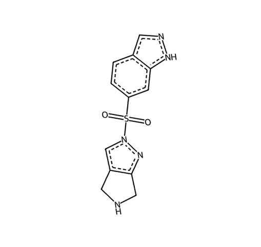 O=S(=O)(c1ccc2cn[nH]c2c1)n1cc2c(n1)CNC2